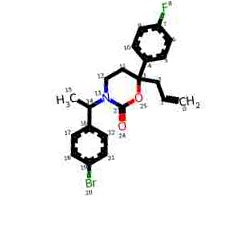 C=CCC1(c2ccc(F)cc2)CCN(C(C)c2ccc(Br)cc2)C(=O)O1